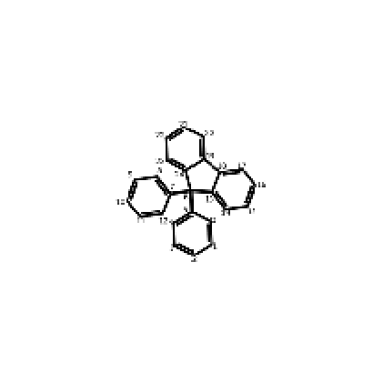 [c]1ccccc1C1(c2ccccc2)c2ccccc2-c2ccccc21